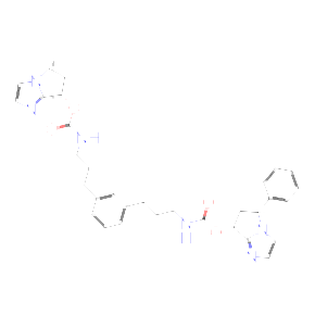 C[C@@H]1C[C@@H](OC(=O)NCCCc2cccc(CCCNC(=O)O[C@@H]3C[C@@H](c4ccccc4)n4ccnc43)c2)c2nccn21